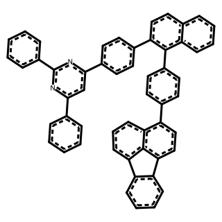 c1ccc(-c2cc(-c3ccc(-c4ccc5ccccc5c4-c4ccc(-c5ccc6c7c(cccc57)-c5ccccc5-6)cc4)cc3)nc(-c3ccccc3)n2)cc1